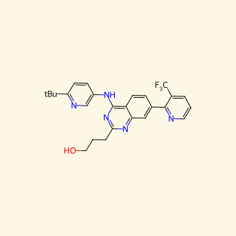 CC(C)(C)c1ccc(Nc2nc(CCCO)nc3cc(-c4ncccc4C(F)(F)F)ccc23)cn1